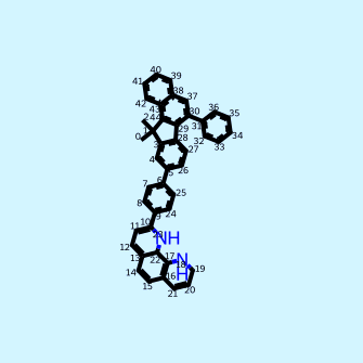 CC1(C)c2cc(-c3ccc(C4=CC=C5C=CC6=C(NCC=C6)C5N4)cc3)ccc2-c2c(-c3ccccc3)cc3ccccc3c21